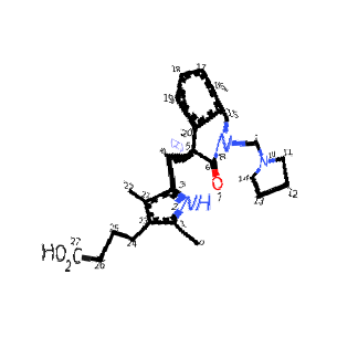 Cc1[nH]c(/C=C2\C(=O)N(CN3CCCC3)c3ccccc32)c(C)c1CCCC(=O)O